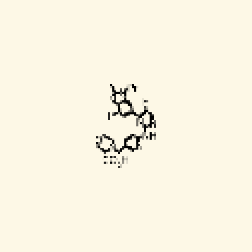 Cc1nc2c(F)cc(-c3nc(Nc4ccc(CN5CCOC[C@H]5C(=O)O)cn4)ncc3F)cc2n1C(C)C